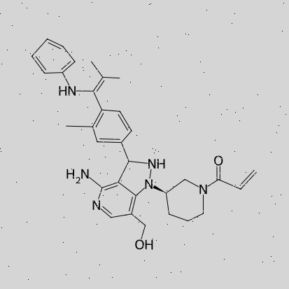 C=CC(=O)N1CCC[C@@H](N2NC(c3ccc(C(Nc4ccccc4)=C(C)C)c(C)c3)c3c(N)ncc(CO)c32)C1